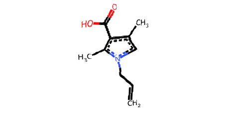 C=CCn1cc(C)c(C(=O)O)c1C